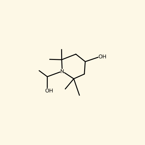 CC(O)N1C(C)(C)CC(O)CC1(C)C